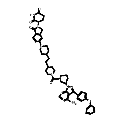 Nc1ncnc2c1c(-c1ccc(Oc3ccccc3)cc1)nn2C1CCCN(C(=O)N2CCC(CCC3CCN(c4ccc5c(c4)CN(C4CCC(=O)NC4=O)C5=O)CC3)CC2)C1